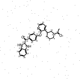 CC(=O)N1CCCC(c2cccnc2Oc2ccc(C(=O)C3Nc4ccccc4N3)cc2)C1